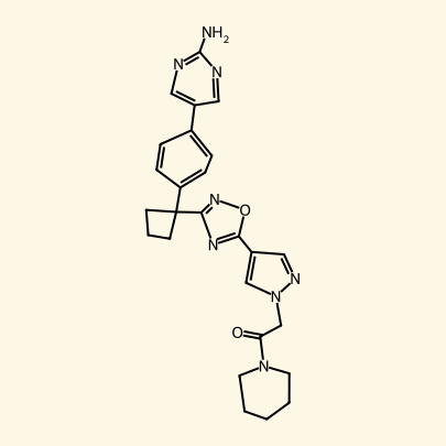 Nc1ncc(-c2ccc(C3(c4noc(-c5cnn(CC(=O)N6CCCCC6)c5)n4)CCC3)cc2)cn1